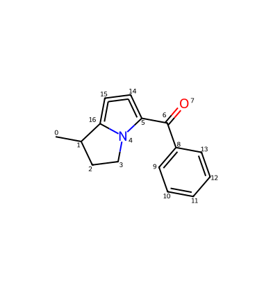 CC1CCN2C(C(=O)c3ccccc3)=C=C=C12